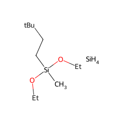 CCO[Si](C)(CCC(C)(C)C)OCC.[SiH4]